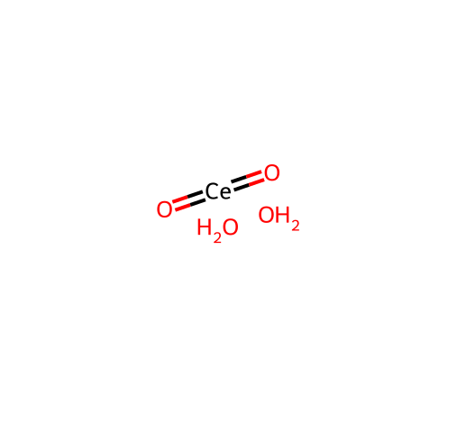 O.O.[O]=[Ce]=[O]